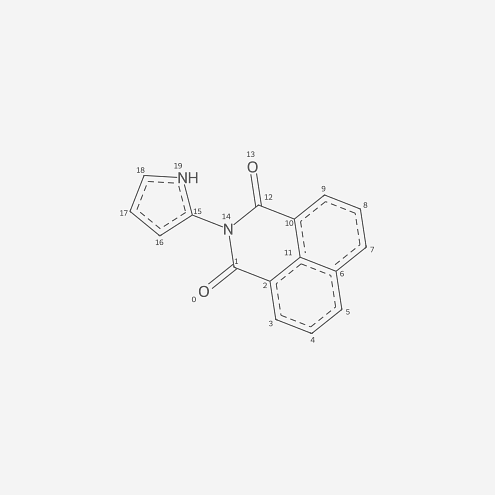 O=C1c2cccc3cccc(c23)C(=O)N1c1ccc[nH]1